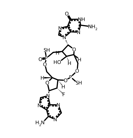 Nc1nc2c(ncn2[C@@H]2O[C@@H]3COP(S)O[C@H]4[C@H](F)[C@H](n5cnc6c(N)ncnc65)O[C@@H]4COP(=O)(S)C[C@@H]2[C@@H]3O)c(=O)[nH]1